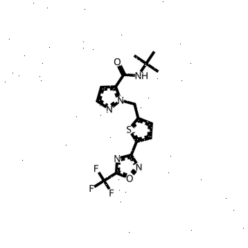 CC(C)(C)NC(=O)c1ccnn1Cc1ccc(-c2noc(C(F)(F)F)n2)s1